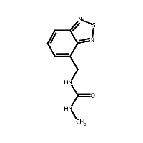 CNC(=O)NCc1cccc2nsnc12